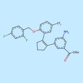 COC(=O)c1cc(N)cc(C2=C(c3cc(C(F)(F)F)ccc3OCc3ccc(F)cc3F)CCC2)c1